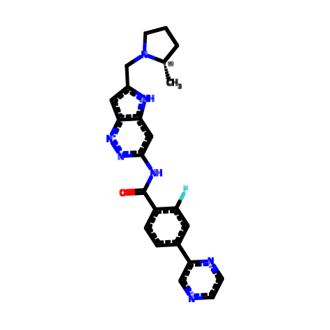 C[C@H]1CCCN1Cc1cc2nnc(NC(=O)c3ccc(-c4cnccn4)cc3F)cc2[nH]1